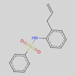 C=CCc1ccccc1NS(=O)(=O)c1ccccc1